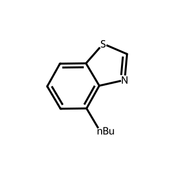 [CH2]CCCc1cccc2scnc12